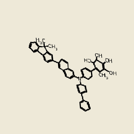 CC1=C(C2=CC=C(N(c3ccc4cc(-c5ccc6c(c5)C(C)(C)c5ccccc5-6)ccc4c3)C3C=CC(c4ccccc4)=CC3)CC2)C(O)C(O)C(O)=C1O